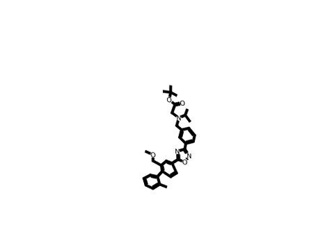 COCc1cc(-c2nc(-c3cccc(CN(CC(=O)OC(C)(C)C)C(C)C)c3)no2)ccc1-c1ccccc1C